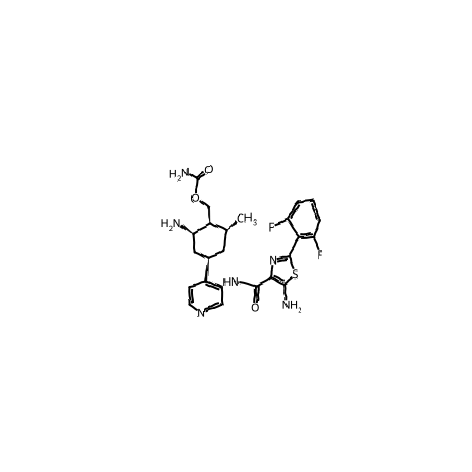 C[C@H]1C[C@@H](c2ccncc2NC(=O)c2nc(-c3c(F)cccc3F)sc2N)C[C@@H](N)[C@H]1COC(N)=O